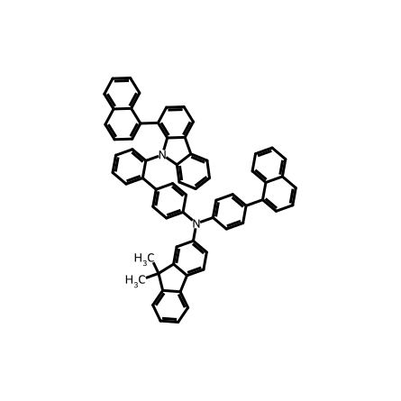 CC1(C)c2ccccc2-c2ccc(N(c3ccc(-c4ccccc4-n4c5ccccc5c5cccc(-c6cccc7ccccc67)c54)cc3)c3ccc(-c4cccc5ccccc45)cc3)cc21